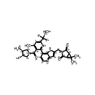 Cc1cc(C(F)(F)F)nc(-c2ccnc3cc(CN4C(=O)C5C(C4=O)C5(C)C)sc23)c1C(=O)N1C[C@@H](F)[C@@H](N)C1.Cl